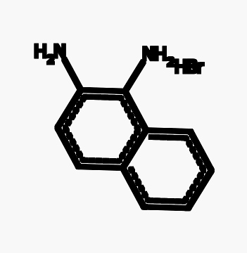 Br.Nc1ccc2ccccc2c1N